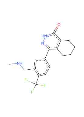 CNCc1cc(-c2n[nH]c(=O)c3c2CCCC3)ccc1C(F)(F)F